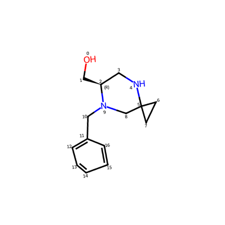 OC[C@H]1CNC2(CC2)CN1Cc1ccccc1